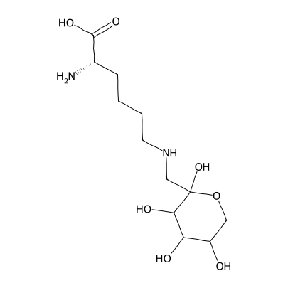 N[C@@H](CCCCNCC1(O)OCC(O)C(O)C1O)C(=O)O